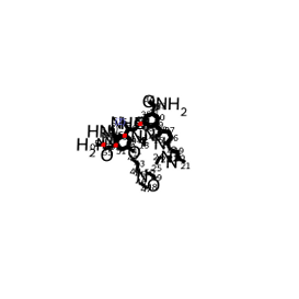 CCN1N[C@H](/N=C\c2c(NC)n(C(C)n3c4nc(-c5cc(C)nn5CC)ccc4c4cc(C(N)=O)cc(O)c43)c3c(OCCCN4CCOCC4)cc(C(N)=O)cc23)C1(C)C